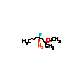 C=CCCC(F)(P)CCC(=C)OCC